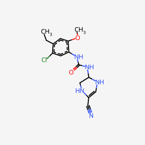 CCc1cc(OC)c(NC(=O)NC2CNC(C#N)=CN2)cc1Cl